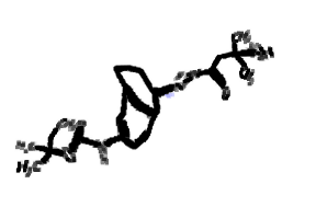 CC(C)(S)CC(=O)N/N=C1\CCc2cc(NC(=O)OC(C)(C)C)ccc21